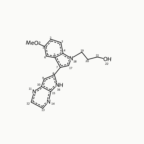 COc1ccc2c(c1)c(-c1cc3nccnc3[nH]1)cn2CCCO